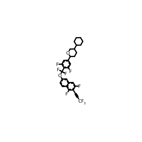 Fc1cc2cc(OC(F)(F)c3c(F)cc(C4CCC(C5CCCCC5)CO4)cc3F)ccc2c(F)c1C#CC(F)(F)F